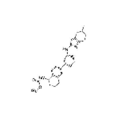 CC1CCn2nc(Nc3cc(-c4ccc5c(c4)CCCC5NC(=O)OC(C)(C)C)ncn3)cc2C1